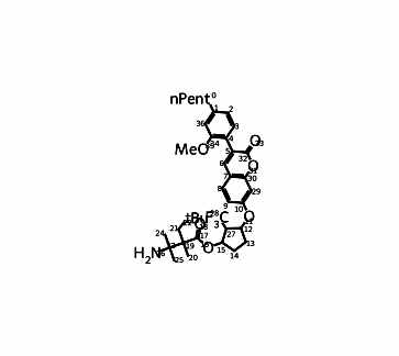 CCCCCc1ccc(-c2cc3ccc(OC4CCC(OC(=O)C(C)(CC(C)(C)C)C(C)(C)N)C4C(F)(F)F)cc3oc2=O)c(OC)c1